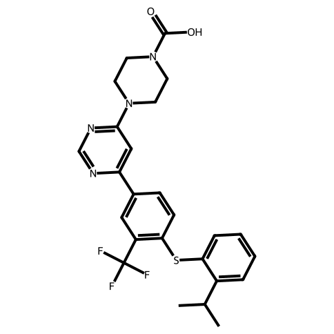 CC(C)c1ccccc1Sc1ccc(-c2cc(N3CCN(C(=O)O)CC3)ncn2)cc1C(F)(F)F